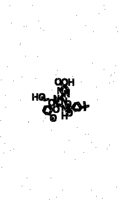 COc1ccccc1Oc1c(NS(=O)(=O)c2ccc(C(C)(C)C)cc2)nc(-c2ncccn2)nc1OCCO.O=CO